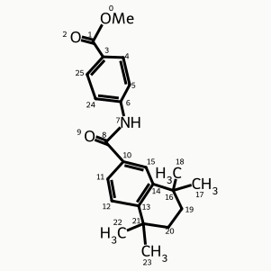 COC(=O)c1ccc(NC(=O)c2ccc3c(c2)C(C)(C)CCC3(C)C)cc1